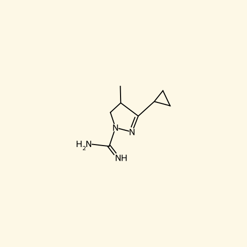 CC1CN(C(=N)N)N=C1C1CC1